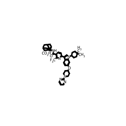 CC1(C)CCC(n2cc(-c3ccc(C(=O)NC4(C(=O)O)C5CC6CC(C5)CC4C6)c(C(F)(F)F)n3)c3ccc(OC4CCN(c5ncccn5)CC4)cc32)CC1